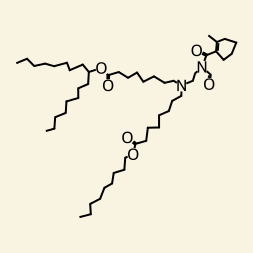 CCCCCCCCCOC(=O)CCCCCCCN(CCCCCCCC(=O)OC(CCCCCCCC)CCCCCCCC)CCN(C=O)C(=O)C1=C(C)CCCC1